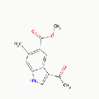 COC(=O)c1cc2c(C(C)=O)c[nH]c2cc1C